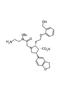 CCCCN(CCN)C(=O)CN1C[C@H](c2ccc3c(c2)CCO3)[C@@H](C(=O)O)[C@@H]1CCOc1ccccc1CO